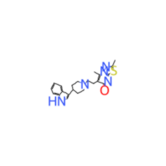 Cc1nn2c(C)c(CCN3CCC(c4c[nH]c5ccccc45)CC3)c(=O)nc2s1